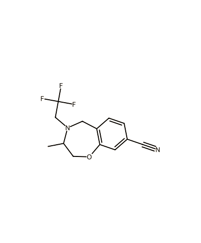 CC1COc2cc(C#N)ccc2CN1CC(F)(F)F